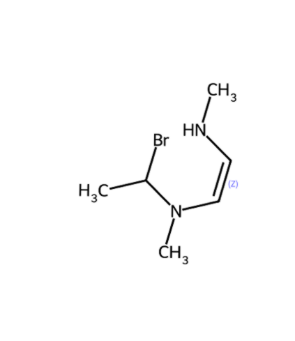 CN/C=C\N(C)C(C)Br